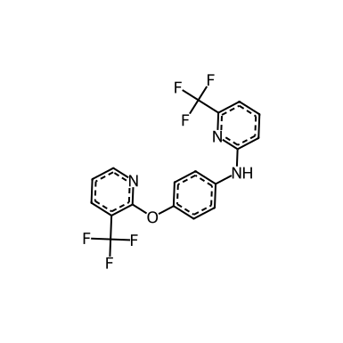 FC(F)(F)c1cccc(Nc2ccc(Oc3ncccc3C(F)(F)F)cc2)n1